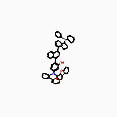 Oc1cc(N(c2ccccc2-c2ccccc2)c2cccc3c2oc2ccccc23)ccc1-c1ccc(-c2cccc3c(B(c4ccccc4)c4ccccc4)cccc23)c2ccccc12